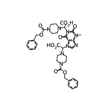 Cn1c(=O)n(C(C(=O)O)N2CCN(C(=O)OCc3ccccc3)CC2)c(=O)c2c1ncn2C(C(=O)O)N1CCN(C(=O)OCc2ccccc2)CC1